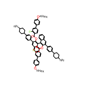 CCCCCCOc1ccc(-c2ccc(C(=O)Oc3c(-c4ccc(C5CCC(CCC)CC5)cc4)cc4ccccc4c3-c3c(OC(=O)c4ccc(-c5ccc(OCCCCCC)cc5)cc4F)c(-c4ccc(C5CCC(CCC)CC5)cc4)cc4ccccc34)c(F)c2)cc1